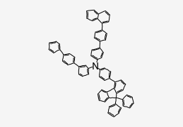 c1ccc(-c2ccc(-c3cccc(N(c4ccc(-c5ccc(-c6cccc7ccccc67)cc5)cc4)c4ccc(-c5cccc6c5-c5ccccc5C6(c5ccccc5)c5ccccc5)cc4)c3)cc2)cc1